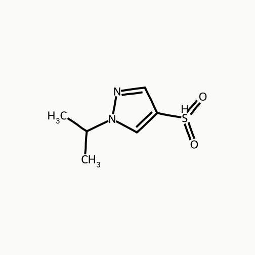 CC(C)n1cc([SH](=O)=O)cn1